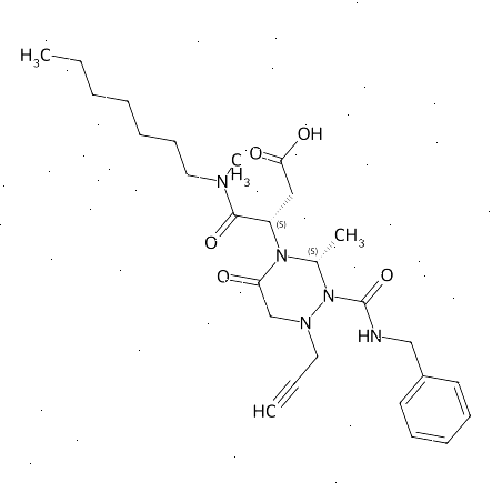 C#CCN1CC(=O)N([C@@H](CC(=O)O)C(=O)N(C)CCCCCCC)[C@H](C)N1C(=O)NCc1ccccc1